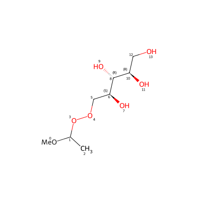 COC(C)OOC[C@H](O)[C@H](O)[C@H](O)CO